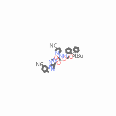 Cc1ccc(C#N)cc1-n1ncc2c(O[C@@H](COCCO[Si](c3ccccc3)(c3ccccc3)C(C)(C)C)C(=O)Nc3ccc(C#N)cn3)ncnc21